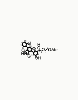 COCCOCC(O)c1cc(O)cc2c1oc1cc(-c3ccccc3Cl)c3c(c12)C(=O)NC3=O